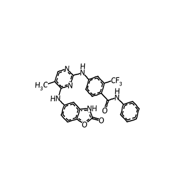 Cc1cnc(Nc2ccc(C(=O)Nc3ccccc3)c(C(F)(F)F)c2)nc1Nc1ccc2oc(=O)[nH]c2c1